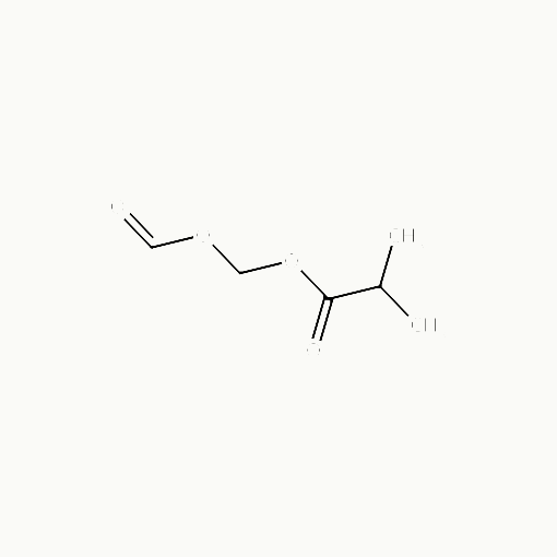 CC(C)C(=O)OCO[C]=O